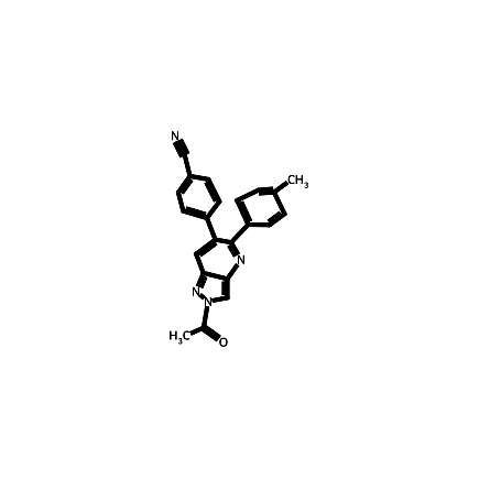 CC(=O)n1cc2nc(-c3ccc(C)cc3)c(-c3ccc(C#N)cc3)cc2n1